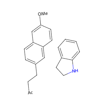 COc1ccc2cc(CCC(C)=O)ccc2c1.c1ccc2c(c1)CCN2